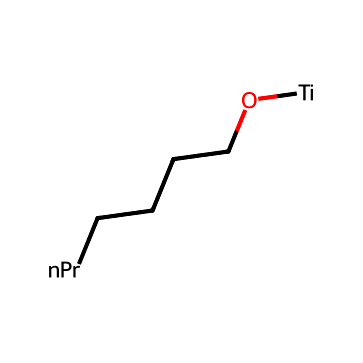 CCCCCCC[O][Ti]